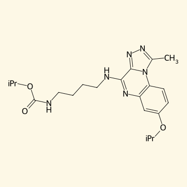 Cc1nnc2c(NCCCCNC(=O)OC(C)C)nc3cc(OC(C)C)ccc3n12